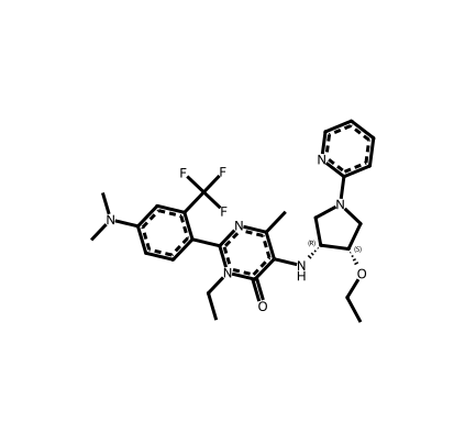 CCO[C@H]1CN(c2ccccn2)C[C@H]1Nc1c(C)nc(-c2ccc(N(C)C)cc2C(F)(F)F)n(CC)c1=O